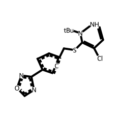 CC(C)(C)N1NC=CC(Cl)=C1SCc1ccc(-c2ncon2)cc1